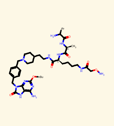 CCCCOc1nc(N)c2[nH]c(=O)n(Cc3ccc(CN4CCC(CCNC(=O)[C@H](CCCCNC(=O)CON)NC(=O)[C@H](C)NC(=O)C(N)C(C)C)CC4)cc3)c2n1